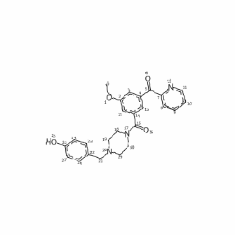 COc1cc(C(=O)c2ccccn2)cc(C(=O)N2CCN(Cc3ccc(O)cc3)CC2)c1